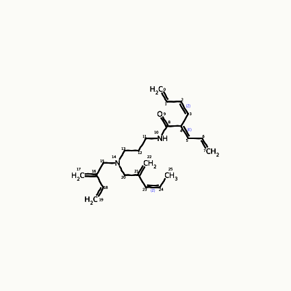 C=C/C=C\C(=C/C=C)C(=O)NCCCN(CC(=C)C=C)CC(=C)/C=C\C